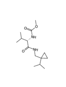 COC(=O)N[C@H](C(=O)NCC1(C(C)C)CC1)C(C)C